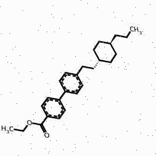 CCC[C@H]1CC[C@H](CCc2ccc(-c3ccc(C(=O)OCC)cc3)cc2)CC1